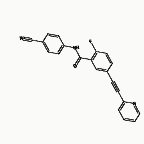 N#Cc1ccc(NC(=O)c2cc(C#Cc3ccccn3)ccc2F)cc1